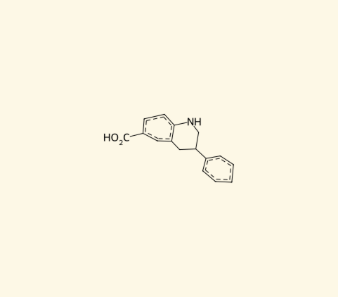 O=C(O)c1ccc2c(c1)CC(c1ccccc1)CN2